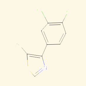 CC(C)c1s[c]nc1-c1ccc(Cl)c(Cl)c1